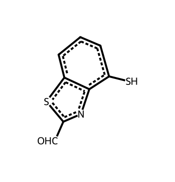 O=Cc1nc2c(S)cccc2s1